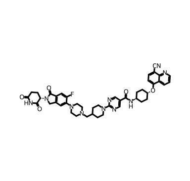 N#Cc1ccc(O[C@H]2CC[C@H](NC(=O)c3cnc(N4CCC(CN5CCN(c6cc7c(cc6F)C(=O)N([C@H]6CCC(=O)NC6=O)C7)CC5)CC4)nc3)CC2)c2cccnc12